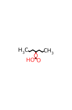 CCCC(=O)CCC.O=CO